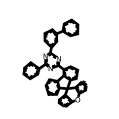 c1ccc(-c2cccc(-c3nc(-c4ccccc4)nc(-c4cccc5c4-c4ccccc4C54c5ccccc5Oc5ccccc54)n3)c2)cc1